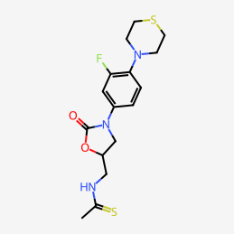 CC(=S)NCC1CN(c2ccc(N3CCSCC3)c(F)c2)C(=O)O1